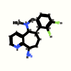 CC(C)(C)N(C(=O)O)[C@@H]1c2cccnc2[C@H](N)CC[C@H]1c1cccc(F)c1F